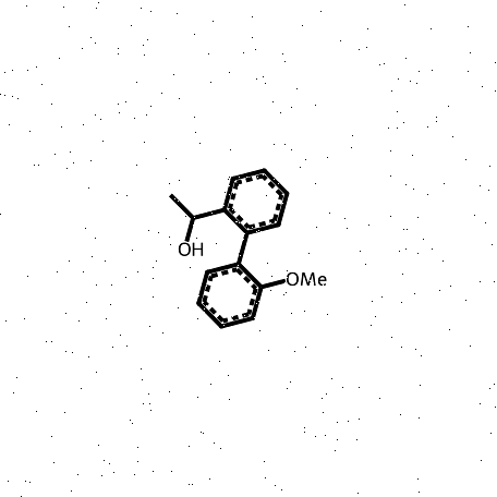 COc1ccccc1-c1ccccc1C(C)O